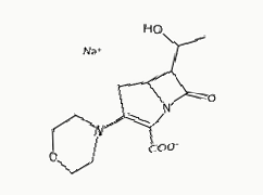 CC(O)C1C(=O)N2C(C(=O)[O-])=C(N3CCOCC3)CC12.[Na+]